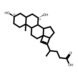 CC(CCC(=O)O)C1=CC23CCC4C(C2CCC13)[C@@H](O)CC1C[C@H](O)CCC14C